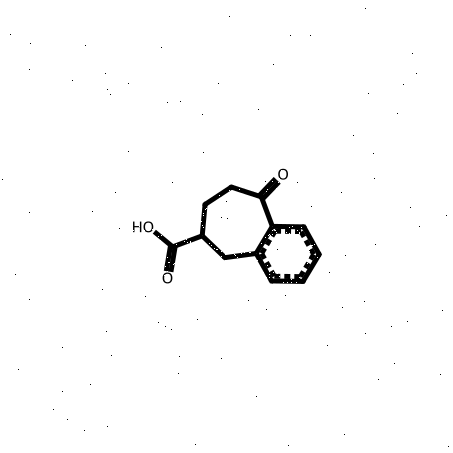 O=C1CCC(C(=O)O)Cc2ccccc21